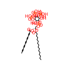 CC#CC#CC#CC#CC#CC(=O)OC[C@H](COP(=O)(O)OC1C(O)[C@@H](OP(=O)(O)O)C(OP(=O)(O)O)[C@@H](OP(=O)(O)O)[C@H]1O)OC(=O)CCCCCCCCCCCCCCC